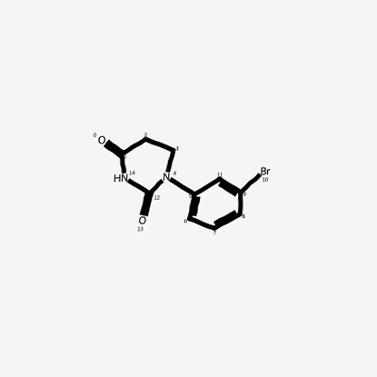 O=C1CCN(c2cccc(Br)c2)C(=O)N1